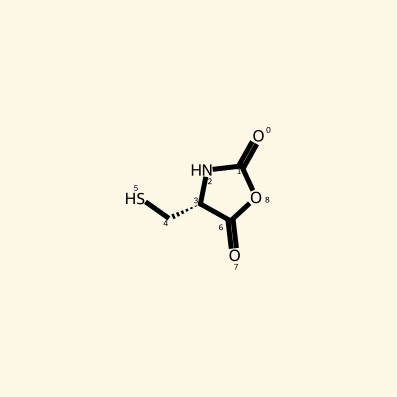 O=C1N[C@@H](CS)C(=O)O1